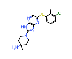 Cc1c(Cl)cccc1Sc1cnc2[nH]c(N3CCC(C)(N)CC3)nc2n1